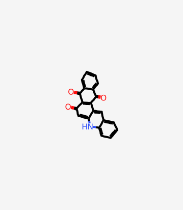 O=C1c2ccccc2C(=O)c2c1c1cc3ccccc3[nH]c-1cc2=O